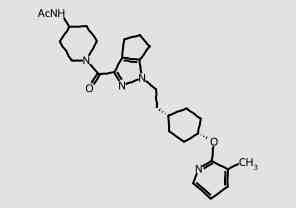 CC(=O)NC1CCN(C(=O)c2nn(CC[C@H]3CC[C@@H](Oc4ncccc4C)CC3)c3c2CCC3)CC1